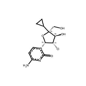 Nc1ccn([C@@H]2O[C@@](CO)(C3CC3)[C@@H](O)[C@@H]2Cl)c(=O)n1